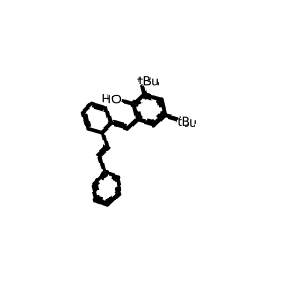 CC(C)(C)c1cc(C=C2C=CC=CC2C=Cc2ccccc2)c(O)c(C(C)(C)C)c1